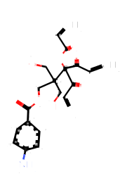 C=CC(=O)OC(C(=O)C=C)(C(=O)C=C)C(CO)(CO)COC(=O)c1ccc(N)cc1